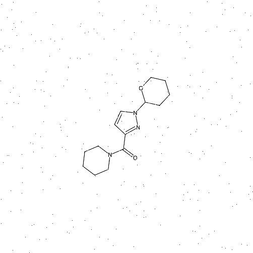 O=C(c1ccn(C2CCCCO2)n1)N1CCCCC1